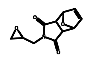 O=C1C2C3C=CC(O3)C2C(=O)N1CC1CO1